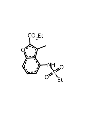 CCOC(=O)c1oc2cccc(NS(=O)(=O)CC)c2c1C